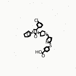 O=C(O)c1ccc(Sc2ccc(CN3CCC(N4C(=O)N(C5CC6CCC(C5)O6)CC4c4cccc(Cl)c4)CC3)cn2)cc1